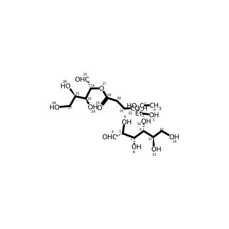 CC(=O)O.CCO.O=C[C@H](O)[C@@H](O)[C@H](O)[C@H](O)CO.O=C[C@H](OC(=O)CCC(=O)O)[C@@H](O)[C@H](O)CO